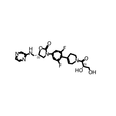 O=C([C@@H](O)CO)N1CC=C(c2c(F)cc(N3C[C@H](CNc4cnccn4)OC3=O)cc2F)CC1